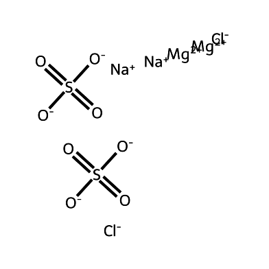 O=S(=O)([O-])[O-].O=S(=O)([O-])[O-].[Cl-].[Cl-].[Mg+2].[Mg+2].[Na+].[Na+]